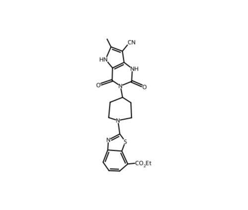 CCOC(=O)c1cccc2nc(N3CCC(n4c(=O)[nH]c5c(C#N)c(C)[nH]c5c4=O)CC3)sc12